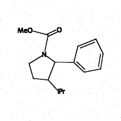 COC(=O)N1CCC(C(C)C)C1c1ccccc1